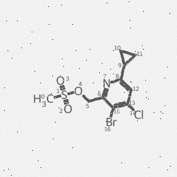 CS(=O)(=O)OCc1nc(C2CC2)cc(Cl)c1Br